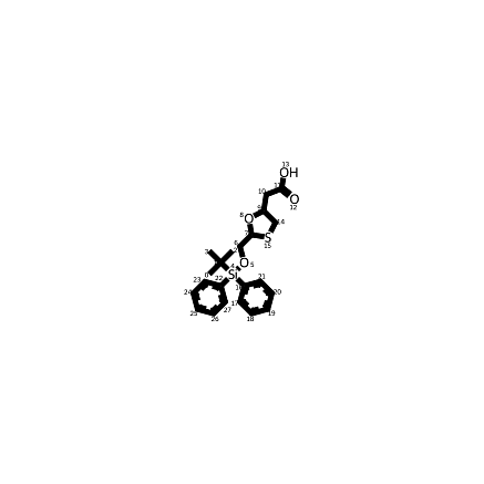 CC(C)(C)[Si](OCC1OC(CC(=O)O)CS1)(c1ccccc1)c1ccccc1